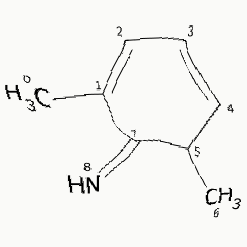 CC1=CC=CC(C)C1=N